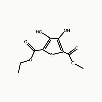 CCOC(=O)c1sc(C(=O)OC)c(O)c1O